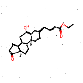 CCOC(=O)CC/C=C1\CC[C@]2(C)C3CC[C@]4(C)C(=O)CCC4C3C[C@H](O)C2C1